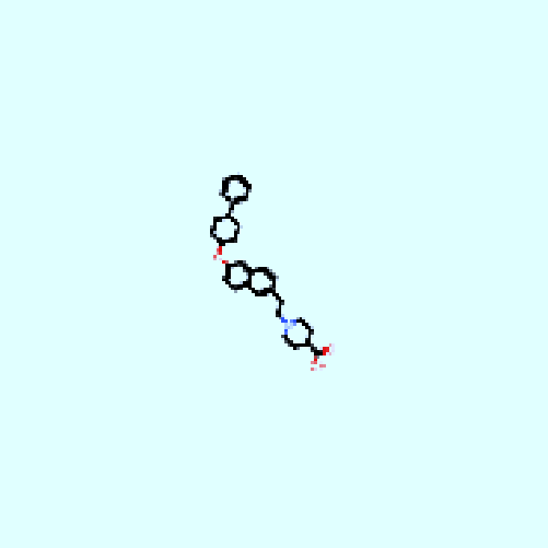 O=C(O)C1CCN(CCc2ccc3cc(OC4CCC(c5ccccc5)CC4)ccc3c2)CC1